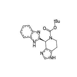 CC(C)(C)OC(=O)N1CCc2[nH]cnc2[C@H]1c1nc2ccccc2[nH]1